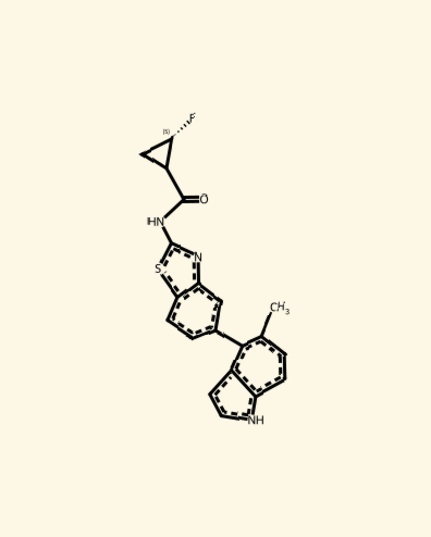 Cc1ccc2[nH]ccc2c1-c1ccc2sc(NC(=O)C3C[C@@H]3F)nc2c1